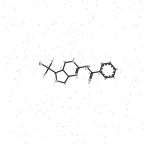 CCC(F)(F)C1OCC2N=C(NC(=O)c3ccccc3)SCC21